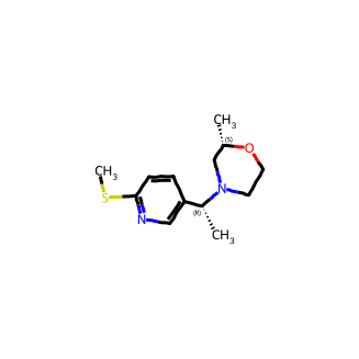 CSc1ccc([C@@H](C)N2CCO[C@@H](C)C2)cn1